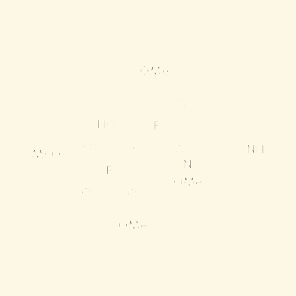 COOP(=O)(OOC)C(O)(CN1CCNCC1)P(=O)(OOC)OOC